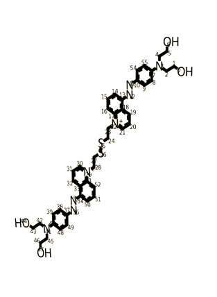 OCCN(CCO)c1ccc(/N=N/c2cccc3c2ccc[n+]3CCSSCC[n+]2cccc3c(/N=N/c4ccc(N(CCO)CCO)cc4)cccc32)cc1